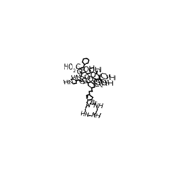 CCC1CC(CCc2ccc(CN3CCCNCCNCCCNCC3)c(Br)c2)CC(OC2OC(CO)C(O)C(O[C@@H](CC3CCCCC3)C(=O)O)C2NC(=O)C2CCNCC2)C1OC1OC(C)C(O)C(O)C1O